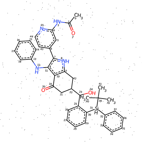 CC(=O)Nc1cc(-c2[nH]c3c(c2Nc2ccccc2)C(=O)CC(C(O)c2ccccc2[SiH](c2ccccc2)C(C)(C)C)C3)ccn1